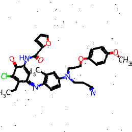 CCC1=C(Cl)C(=O)C(NC(=O)c2ccco2)=CC1=Nc1ccc(N(CCC#N)CCOc2ccc(OC)cc2)cc1C